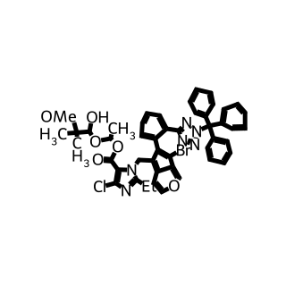 CCc1nc(Cl)c(C(=O)OC(C)OC(O)C(C)(C)OC)n1Cc1c2ccocc-2c(Br)c1-c1ccccc1-c1nnn(C(c2ccccc2)(c2ccccc2)c2ccccc2)n1